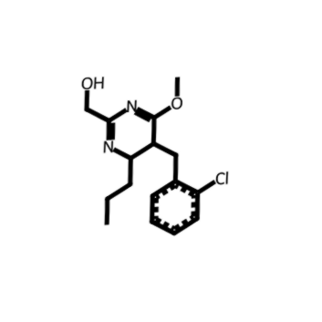 CCCC1N=C(CO)N=C(OC)C1Cc1ccccc1Cl